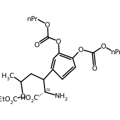 CCCOC(=O)Oc1ccc(C(CC(C)OC(=O)OCC)[C@H](N)C(=O)O)cc1OC(=O)OCCC